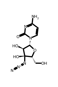 [N-]=[N+]=N[C@@]1(O)[C@@H](CO)O[C@@H](n2ccc(N)nc2=O)[C@@H]1O